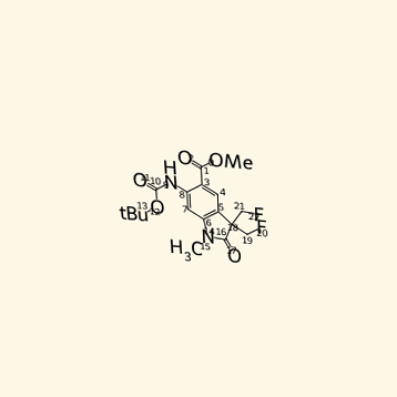 COC(=O)c1cc2c(cc1NC(=O)OC(C)(C)C)N(C)C(=O)C2(CF)CF